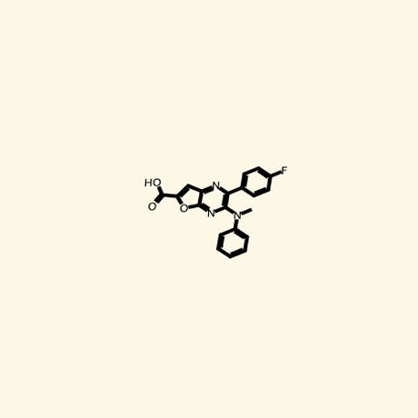 CN(c1ccccc1)c1nc2oc(C(=O)O)cc2nc1-c1ccc(F)cc1